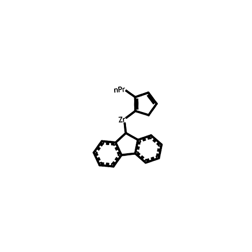 CCCC1=[C]([Zr][CH]2c3ccccc3-c3ccccc32)CC=C1